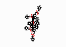 O=C(CC1C=C2c3ccc4c5ccc6c7ccc8c9c%10c%11c%12c%13c%14c(c3c4c%13c5c6c%12c97)C2(CC(=O)OCc2ccccc2)C2=C1C1C(=C2[C@@]%14%11CC(=O)OCc2ccccc2)C%10(CC(=O)OCc2ccccc2)C8CC1CC(=O)OCc1ccccc1)OCc1ccccc1